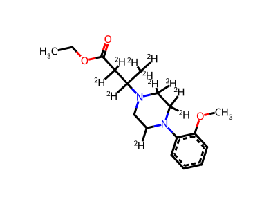 [2H]C1CN(C([2H])(C([2H])([2H])[2H])C([2H])([2H])C(=O)OCC)C([2H])([2H])C([2H])([2H])N1c1ccccc1OC